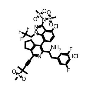 CC(C)(C#Cc1nc([C@@H](N)Cc2cc(F)cc(F)c2)c(-c2ccc(Cl)c3c(N(S(C)(=O)=O)S(C)(=O)=O)nn(CC(F)(F)F)c23)c2c1CCC2)S(C)(=O)=O.Cl